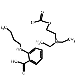 CCCCNc1ccccc1C(=O)O.CCN(CC)CCOC(=O)Cl